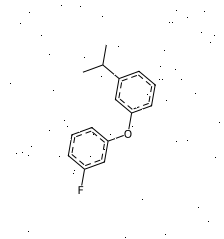 CC(C)c1cccc(Oc2cccc(F)c2)c1